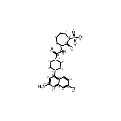 CCS(=O)(=O)N1CCCC[C@H](NC(=O)N2CCN(c3cc(N)nc4cc(Cl)ccc34)CC2)C1=O